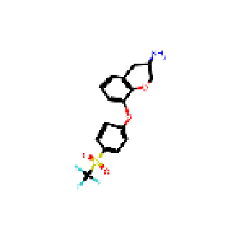 NC1COc2c(cccc2Oc2ccc(S(=O)(=O)C(F)(F)F)cc2)C1